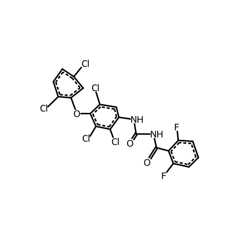 O=C(NC(=O)c1c(F)cccc1F)Nc1cc(Cl)c(Oc2cc(Cl)ccc2Cl)c(Cl)c1Cl